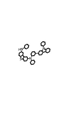 c1ccc(Nc2ccc3sc4ccc(N(c5ccccc5)c5cccc(-c6ccc7c8ccccc8n(-c8ccccc8)c7c6)c5)cc4c3c2)cc1